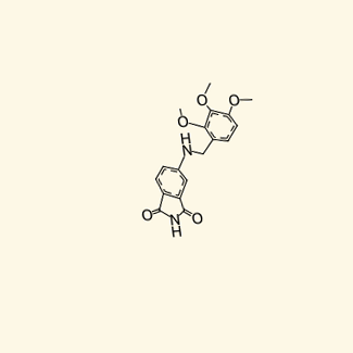 COc1ccc(CNc2ccc3c(c2)C(=O)NC3=O)c(OC)c1OC